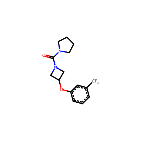 O=C(N1CCCC1)N1CC(Oc2cccc(C(F)(F)F)c2)C1